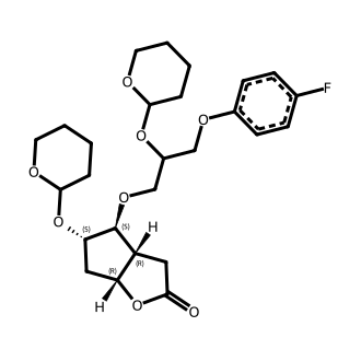 O=C1C[C@H]2[C@H](OCC(COc3ccc(F)cc3)OC3CCCCO3)[C@@H](OC3CCCCO3)C[C@H]2O1